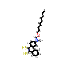 C=CCCCCCCCCOCN(CC)c1ccc(/C(S)=C(/S)c2ccccc2)cc1